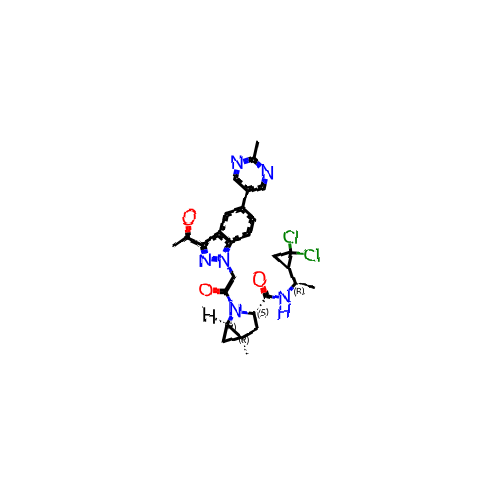 CC(=O)c1nn(CC(=O)N2[C@H](C(=O)N[C@H](C)C3CC3(Cl)Cl)C[C@@]3(C)C[C@@H]23)c2ccc(-c3cnc(C)nc3)cc12